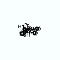 CC(C)Nc1cc(C(=O)N[C@@H](Cc2ccccc2)[C@@H](O)CNC2CCOCC2)c(F)c(N2CCCCS2(O)O)c1